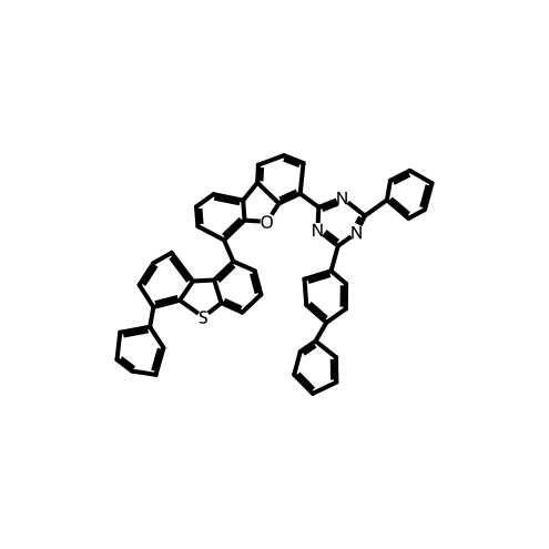 c1ccc(-c2ccc(-c3nc(-c4ccccc4)nc(-c4cccc5c4oc4c(-c6cccc7sc8c(-c9ccccc9)cccc8c67)cccc45)n3)cc2)cc1